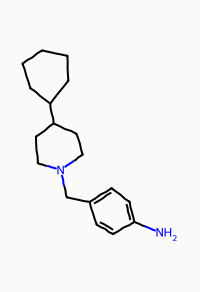 Nc1ccc(CN2CCC(C3CCCCC3)CC2)cc1